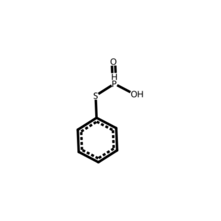 O=[PH](O)Sc1ccccc1